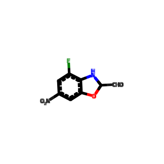 O=CC1Nc2c(F)cc([N+](=O)[O-])cc2O1